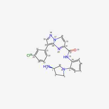 N[C@@H]1CCN(c2ccccc2NC(=O)c2ccn3ncc(-c4cccc(Cl)c4)c3n2)C1